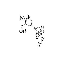 CC(C)(C)OC(=O)N1CC[C@@H]2CN(c3cnc(Br)c(CO)c3)C[C@@H]21